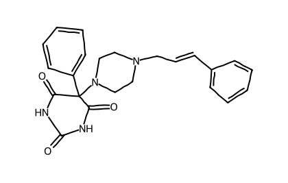 O=C1NC(=O)C(c2ccccc2)(N2CCN(CC=Cc3ccccc3)CC2)C(=O)N1